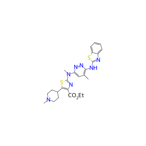 CCOC(=O)c1nc(N(C)c2cc(C)c(Nc3nc4ccccc4s3)nn2)sc1C1CCN(C)CC1